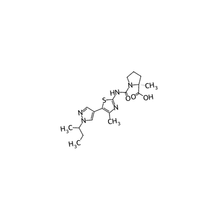 CCC(C)n1cc(-c2sc(NC(=O)N3CCC[C@@]3(C)C(=O)O)nc2C)cn1